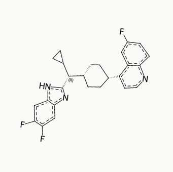 Fc1ccc2nccc([C@H]3CC[C@@H]([C@H](c4nc5cc(F)c(F)cc5[nH]4)C4CC4)CC3)c2c1